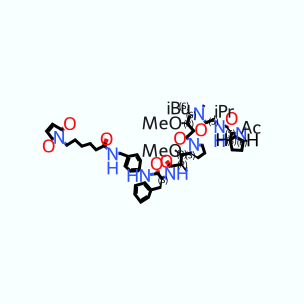 CC[C@H](C)[C@@H]([C@@H](CC(=O)N1CCC[C@H]1[C@H](OC)[C@@H](C)C(=O)N[C@@H](Cc1ccccc1)C(=O)Nc1ccc(CNC(=O)CCCCCN2C(=O)C=CC2=O)cc1)OC)N(C)C(=O)[C@@H](NC(=O)[C@@H]1[C@H]2CC[C@H](C2)N1C(C)=O)C(C)C